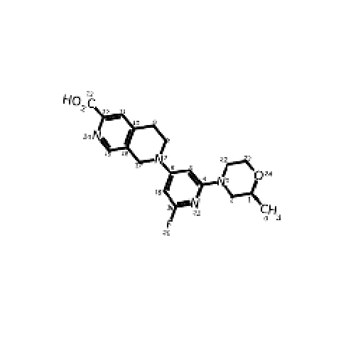 CC1CN(c2cc(N3CCc4cc(C(=O)O)ncc4C3)cc(F)n2)CCO1